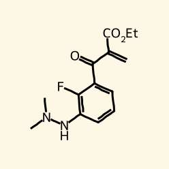 C=C(C(=O)OCC)C(=O)c1cccc(NN(C)C)c1F